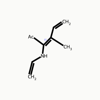 C=CN/C(C(C)=O)=C(\C)C=C